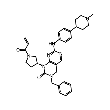 C=CC(=O)N1CC[C@H](N2C(=O)N(Cc3ccccc3)Cc3cnc(Nc4ccc(C5CCN(C)CC5)cc4)nc32)C1